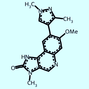 COc1cc2ncc3c([nH]c(=O)n3C)c2cc1-c1cn(C)nc1C